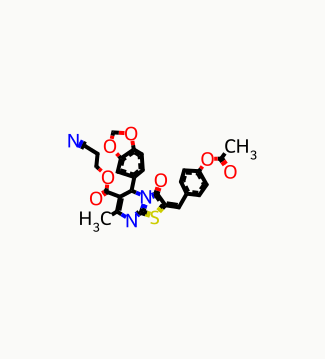 CC(=O)Oc1ccc(/C=c2/sc3n(c2=O)C(c2ccc4c(c2)OCO4)C(C(=O)OCCC#N)=C(C)N=3)cc1